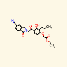 CCCc1c(OCC(=O)OCC)ccc(C(=O)CN2Cc3cc(C#N)ccc3C2=O)c1O